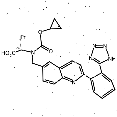 CC(C)[C@@H](C(=O)O)N(Cc1ccc2nc(-c3ccccc3-c3nnn[nH]3)ccc2c1)C(=O)OC1CC1